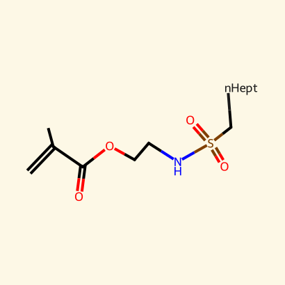 C=C(C)C(=O)OCCNS(=O)(=O)CCCCCCCC